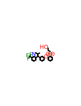 Cc1cnc2c(C(F)(F)F)cccc2c1-c1cccc(Oc2ccccc2S(=O)(=O)CCCO)c1